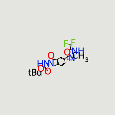 C/N=C(\OC(=N)C(F)F)c1ccc2c(c1)C(=O)N(NC(=O)OC(C)(C)C)C2